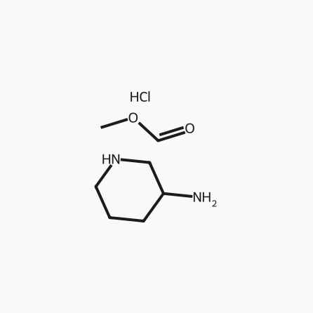 COC=O.Cl.NC1CCCNC1